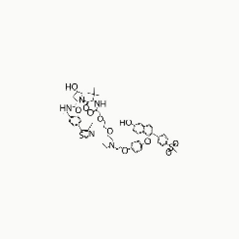 CCN(CCOCCOCC(=O)N[C@H](C(=O)N1C[C@H](O)C[C@H]1C(=O)N[C@@H](C)c1ccc(-c2scnc2C)cc1)C(C)(C)C)CCOc1ccc(Oc2c(-c3ccc(S(C)(=O)=O)cc3)ccc3cc(O)ccc23)cc1